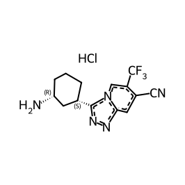 Cl.N#Cc1cc2nnc([C@H]3CCC[C@@H](N)C3)n2cc1C(F)(F)F